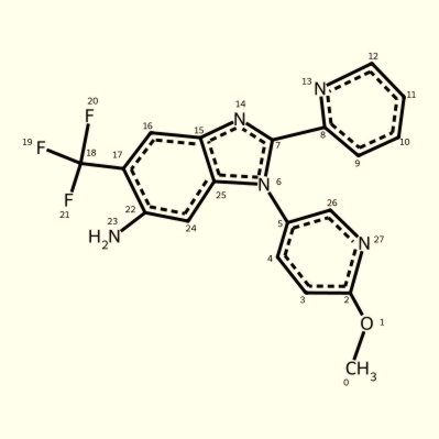 COc1ccc(-n2c(-c3ccccn3)nc3cc(C(F)(F)F)c(N)cc32)cn1